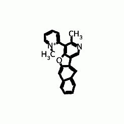 Cc1ncc2c(oc3cc4ccccc4cc32)c1-c1cccc[n+]1C